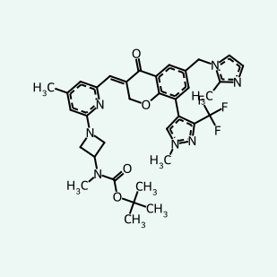 Cc1cc(/C=C2\COc3c(cc(Cn4ccnc4C)cc3-c3cn(C)nc3C(F)(F)F)C2=O)nc(N2CC(N(C)C(=O)OC(C)(C)C)C2)c1